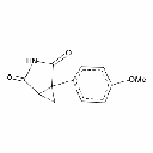 COc1ccc(C23CC2C(=O)NC3=O)cc1